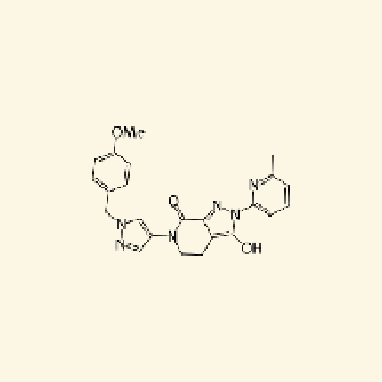 COc1ccc(Cn2cc(N3CCc4c(nn(-c5cccc(C)n5)c4O)C3=O)cn2)cc1